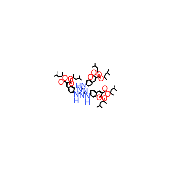 CC(C)CC(C)OC(=O)C(=Cc1ccc(Nc2nc(Nc3ccc(C=C(C(=O)OC(C)CC(C)C)C(=O)OC(C)CC(C)C)cc3)nc(Nc3ccc(C=C(C(=O)OC(C)CC(C)C)C(=O)OC(C)CC(C)C)cc3)n2)cc1)C(=O)OC(C)CC(C)C